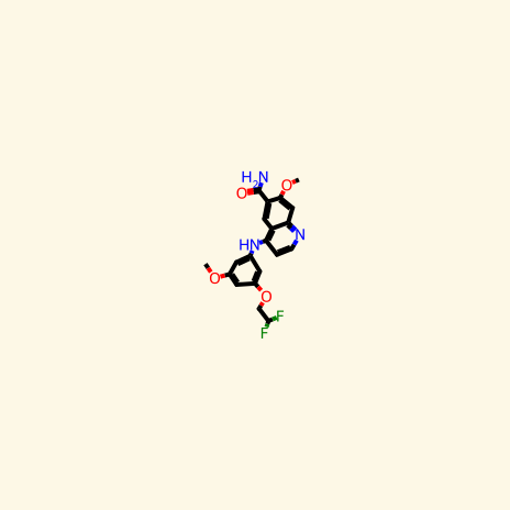 COc1cc(Nc2ccnc3cc(OC)c(C(N)=O)cc23)cc(OCC(F)F)c1